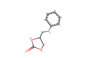 O=C1OCC(CSc2ccccc2)O1